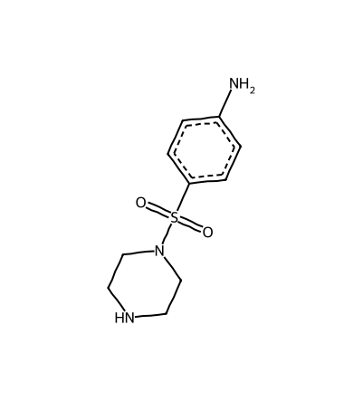 Nc1ccc(S(=O)(=O)N2CCNCC2)cc1